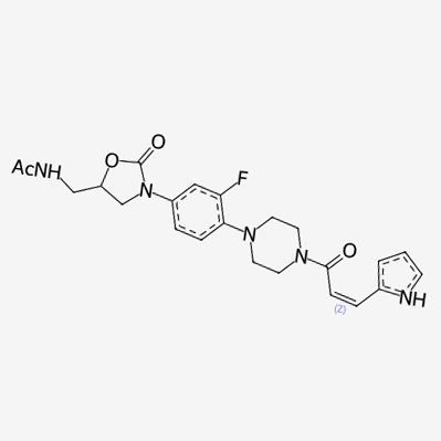 CC(=O)NCC1CN(c2ccc(N3CCN(C(=O)/C=C\c4ccc[nH]4)CC3)c(F)c2)C(=O)O1